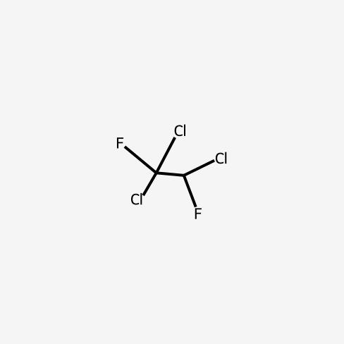 FC(Cl)C(F)(Cl)Cl